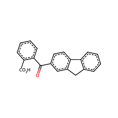 O=C(O)c1ccccc1C(=O)c1ccc2c(c1)Cc1ccccc1-2